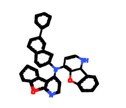 C1=CC(N(c2ccc3ccc(-c4ccccc4)cc3c2)c2ccnc3oc4ccccc4c23)=C2Oc3ccccc3C2N1